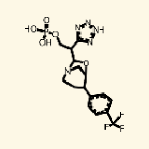 O=P(O)(O)OCC(c1nn[nH]n1)C1OC2CN1CCC2c1ccc(C(F)(F)F)cc1